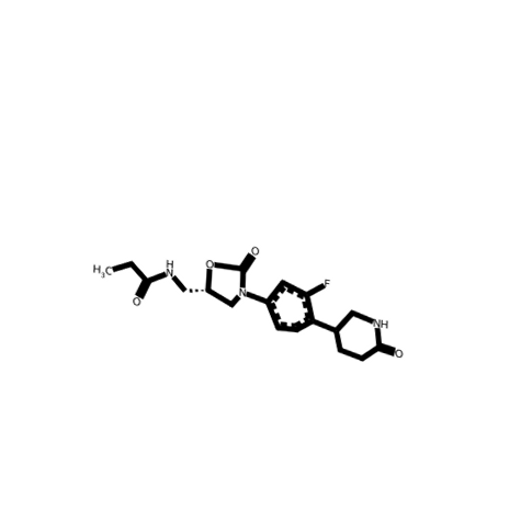 CCC(=O)NC[C@H]1CN(c2ccc(C3CCC(=O)NC3)c(F)c2)C(=O)O1